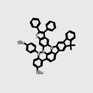 CC(C)(C)c1ccc(N2B3c4cc5sc(-c6ccccc6)c(-c6ccccc6)c5cc4-n4c5cc6c(cc5c5ccc(c3c54)-c3cc(C(C)(C)C)ccc32)C(C)(C)c2ccccc2-6)cc1